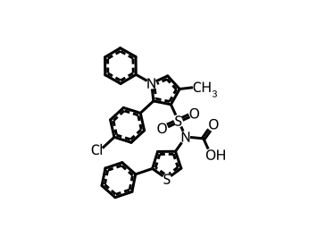 Cc1cn(-c2ccccc2)c(-c2ccc(Cl)cc2)c1S(=O)(=O)N(C(=O)O)c1csc(-c2ccccc2)c1